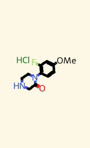 COc1ccc(N2CCNCC2=O)c(F)c1.Cl